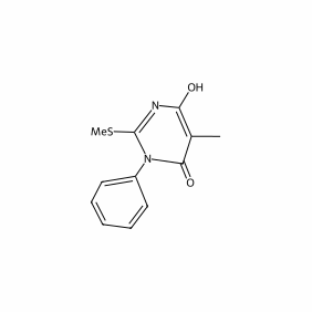 CSc1nc(O)c(C)c(=O)n1-c1ccccc1